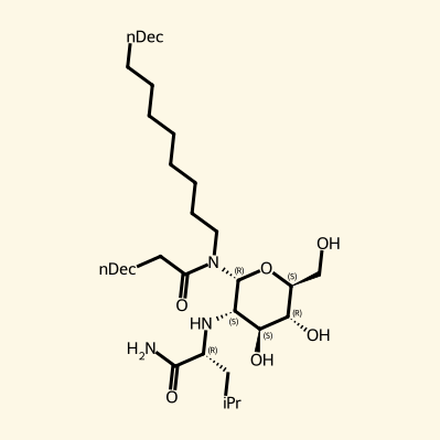 CCCCCCCCCCCCCCCCCCN(C(=O)CCCCCCCCCCC)[C@@H]1O[C@@H](CO)[C@H](O)[C@@H](O)[C@@H]1N[C@H](CC(C)C)C(N)=O